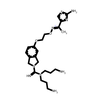 C/C(=N\OCCOc1ccc2c(c1)CN(C(=N)N(CCCN)CCCN)C2)c1csc(N)n1